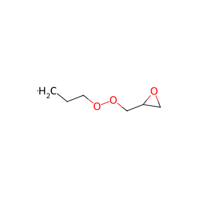 [CH2]CCOOCC1CO1